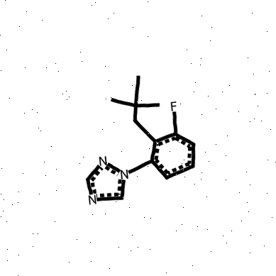 CC(C)(C)Cc1c(F)cccc1-n1cncn1